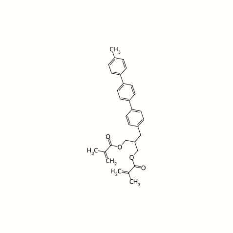 C=C(C)C(=O)OCC(COC(=O)C(=C)C)Cc1ccc(-c2ccc(-c3ccc(C)cc3)cc2)cc1